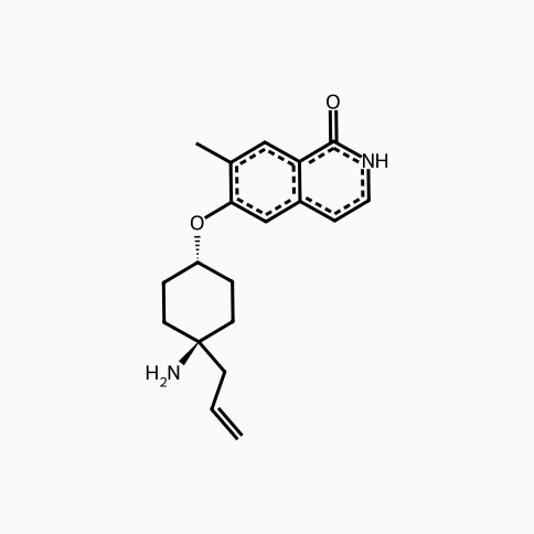 C=CC[C@]1(N)CC[C@H](Oc2cc3cc[nH]c(=O)c3cc2C)CC1